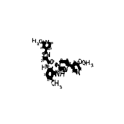 COc1cncc(-c2ccnc(Nc3cc(NC(=O)c4csc(-c5ccnc(C)c5)n4)ccc3C)n2)c1